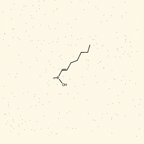 CCCCC/C=C/B(C)O